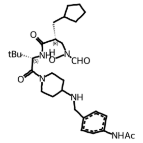 CC(=O)Nc1ccc(CNC2CCN(C(=O)[C@@H](NC(=O)[C@H](CC3CCCC3)CN(O)C=O)C(C)(C)C)CC2)cc1